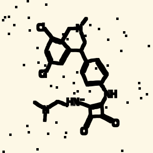 CN(C)CCNc1c(Nc2ccc(C3CN(C)Cc4c(Cl)cc(Cl)cc43)cc2)c(=O)c1=O